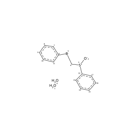 O.O.[O-][S+](C[B]c1ccccc1)c1ccccc1